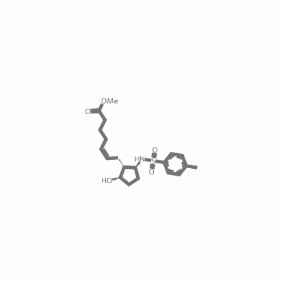 COC(=O)CCC/C=C\C[C@H]1[C@H](O)CC[C@@H]1NS(=O)(=O)c1ccc(C)cc1